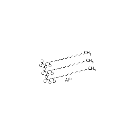 CCCCCCCCCCCCCCCCCC(=O)CC(=O)C(=O)[O-].CCCCCCCCCCCCCCCCCC(=O)CC(=O)C(=O)[O-].CCCCCCCCCCCCCCCCCC(=O)CC(=O)C(=O)[O-].[Al+3]